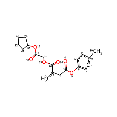 C=C(CC(=O)Oc1ccc(C)cc1)C(=O)OCC(=O)OC1CCCC1